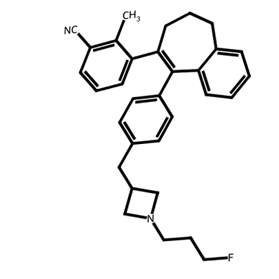 Cc1c(C#N)cccc1C1=C(c2ccc(CC3CN(CCCF)C3)cc2)c2ccccc2CCC1